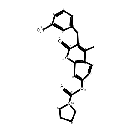 Cc1c(Cc2cccc([N+](=O)[O-])c2)c(=O)oc2cc(OC(=O)N3CCCC3)ccc12